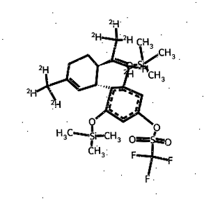 [2H]C([2H])=C([C@@H]1CCC(C([2H])([2H])[2H])=C[C@H]1c1c(O[Si](C)(C)C)cc(OS(=O)(=O)C(F)(F)F)cc1O[Si](C)(C)C)C([2H])([2H])[2H]